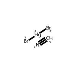 C#N.[Br][Hg][Br]